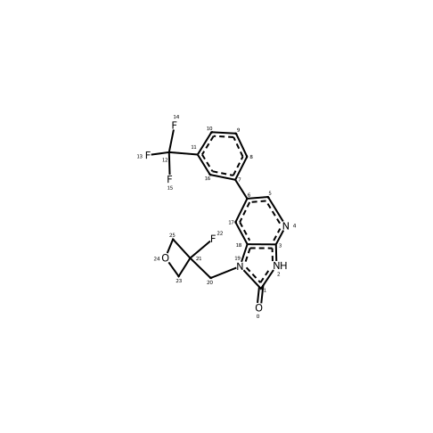 O=c1[nH]c2ncc(-c3cccc(C(F)(F)F)c3)cc2n1CC1(F)COC1